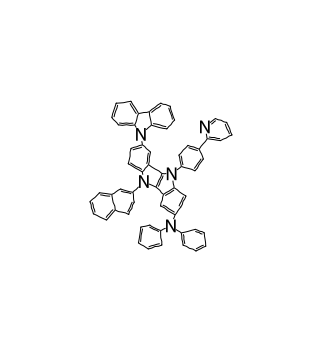 c1ccc(N(c2ccccc2)c2ccc3c(c2)c2c(c4cc(-n5c6ccccc6c6ccccc65)ccc4n2-c2ccc4ccccc4c2)n3-c2ccc(-c3ccccn3)cc2)cc1